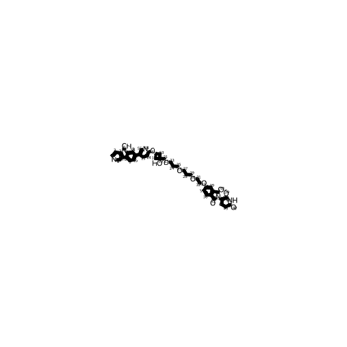 Cn1c2ccncc2c2ccc(-c3ccc(OC4CC(O)(COCCCOCCCOCCOc5ccc6c(c5)C(=O)N(C5CCC(=O)NC5=O)C6=O)C4)nc3)cc21